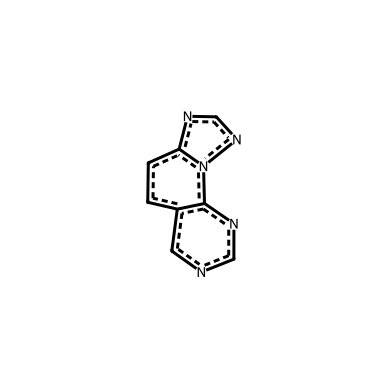 c1ncc2ccc3ncnn3c2n1